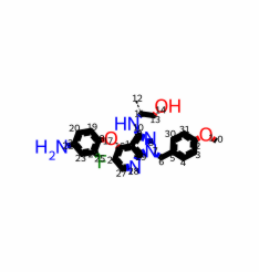 COc1ccc(Cn2nc(N[C@H](C)CO)c3c(Oc4ccc(N)cc4F)ccnc32)cc1